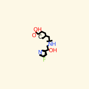 CC(C)(CC1CCC(C(=O)O)CC1)NC[C@H](O)c1cncc(F)c1